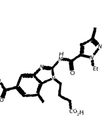 CCn1nc(C)cc1C(=O)Nc1nc2cc(C(N)=O)cc(C)c2n1CCCC(=O)O